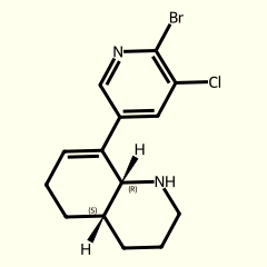 Clc1cc(C2=CCC[C@H]3CCCN[C@@H]23)cnc1Br